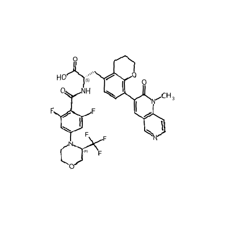 Cn1c(=O)c(-c2ccc(C[C@H](NC(=O)c3c(F)cc(N4CCOC[C@@H]4C(F)(F)F)cc3F)C(=O)O)c3c2OCCC3)cc2cnccc21